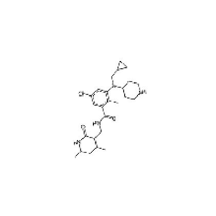 Cc1c(C(=O)NCC2C(=O)NC(C)CC2C)cc(Cl)cc1N(CC1CC1)C1CCNCC1